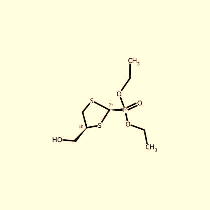 CCOP(=O)(OCC)[C@@H]1SC[C@H](CO)S1